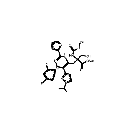 COC(=O)C(CO)(CC1=C(c2ccn(C(F)F)n2)[C@H](c2ccc(F)cc2Cl)N=C(c2nccs2)N1)NC(=O)OC(C)(C)C